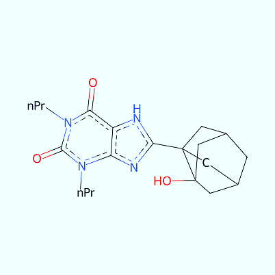 CCCn1c(=O)c2[nH]c(C34CC5CC(CC3(O)C5)C4)nc2n(CCC)c1=O